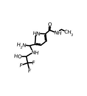 CCNC(=O)C1=CC=C(C(N)NC(O)C(F)(F)F)CN1